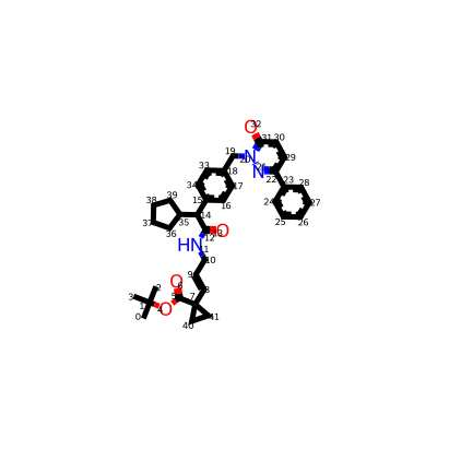 CC(C)(C)OC(=O)C1(C=CCNC(=O)C(c2ccc(Cn3nc(-c4ccccc4)ccc3=O)cc2)C2CCCC2)CC1